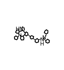 C1=Cc2c(c3ccccc3n(-c3ccccc3)c3ccccc3c3cc(-c4ccc(-c5cccc(CNC(/N=C/c6ccccc6)c6ccccc6)c5)cc4)ccc23)NC1